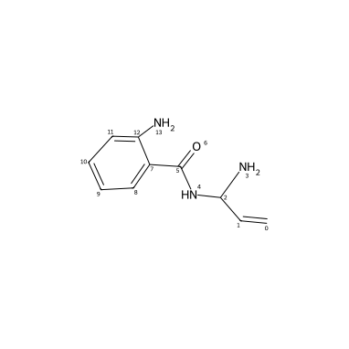 C=CC(N)NC(=O)c1ccccc1N